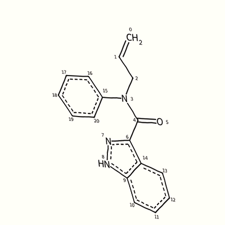 C=CCN(C(=O)c1n[nH]c2ccccc12)c1ccccc1